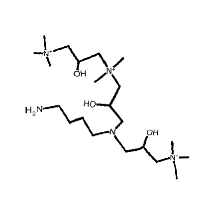 C[N+](C)(C)CC(O)CN(CCCCN)CC(O)C[N+](C)(C)CC(O)C[N+](C)(C)C